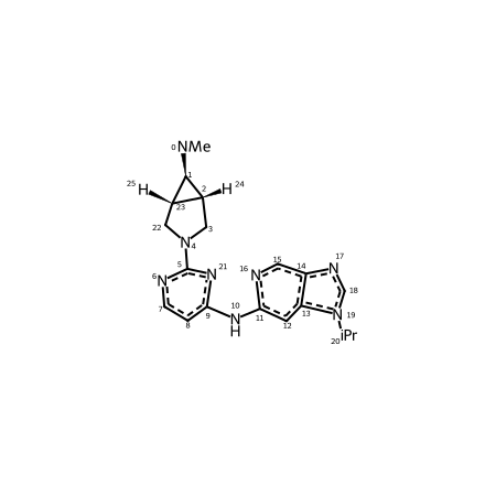 CN[C@H]1[C@@H]2CN(c3nccc(Nc4cc5c(cn4)ncn5C(C)C)n3)C[C@@H]21